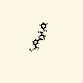 NC(=O)c1cccc(-c2cncc(C(=O)Nc3ccccc3)n2)c1